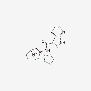 O=C(NC1CC2CCC(C1)N2CC1CCCC1)c1c[nH]c2ncccc12